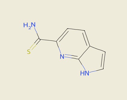 NC(=S)c1ccc2cc[nH]c2n1